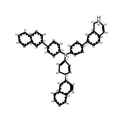 c1c([C@@H]2C=CC(N(c3ccc(-c4ccc5c(c4)CNC=C5)cc3)c3ccc(-c4ccc5ccccc5c4)cc3)=CC2)cc2ccccc2c#1